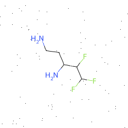 NCCC(N)C(F)C(F)F